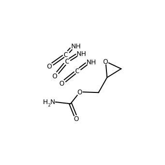 N=C=O.N=C=O.N=C=O.NC(=O)OCC1CO1